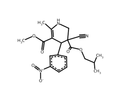 COC(=O)C1=C(C)NCC(C#N)(C(=O)OCC(C)C)C1c1cccc([N+](=O)[O-])c1